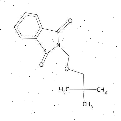 CC(C)(C)COCN1C(=O)c2ccccc2C1=O